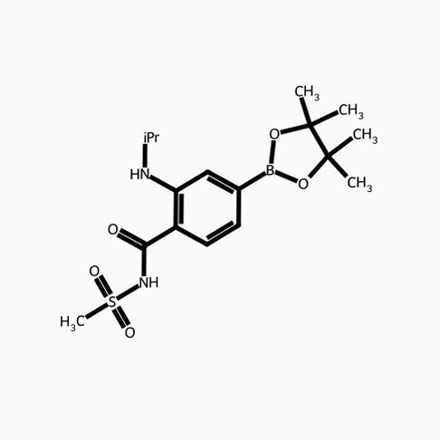 CC(C)Nc1cc(B2OC(C)(C)C(C)(C)O2)ccc1C(=O)NS(C)(=O)=O